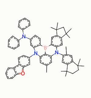 Cc1cc2c3c(c1)N(c1cc4c(cc1C)C(C)(C)CCC4(C)C)c1cc4c(cc1B3c1ccc(N(c3ccccc3)c3ccccc3)cc1N2c1ccc2c(c1)oc1ccccc12)C(C)(C)CC4(C)C